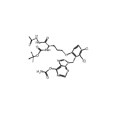 CC(=O)NNC(=O)[C@@H](CCCOc1ccc(Cl)c(Cl)c1Cn1cnc2c(OC(N)=O)ncnc21)NC(=O)OC(C)(C)C